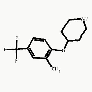 Cc1cc(C(F)(F)F)ccc1OC1CCNCC1